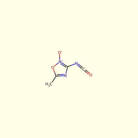 Cc1nc(N=C=O)[n+]([O-])o1